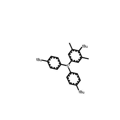 Cc1cc([S+](c2ccc(C(C)(C)C)cc2)c2ccc(C(C)(C)C)cc2)cc(C)c1C(C)(C)C